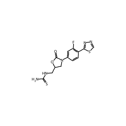 NC(=S)NCC1CN(c2ccc(-c3nncs3)c(F)c2)C(=O)O1